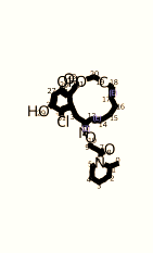 CC1CCCCN1C(=O)CO/N=C1\C=C\CC/C=C/CCOC(=O)c2c(O)cc(O)c(Cl)c2C1